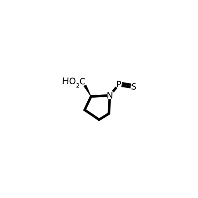 O=C(O)[C@@H]1CCCN1P=S